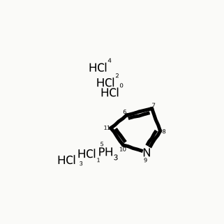 Cl.Cl.Cl.Cl.Cl.P.c1ccncc1